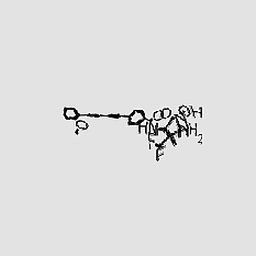 COc1ccccc1C#CC#Cc1ccc(C(=O)NC(C(=O)NO)C(C)(N)C(F)F)cc1